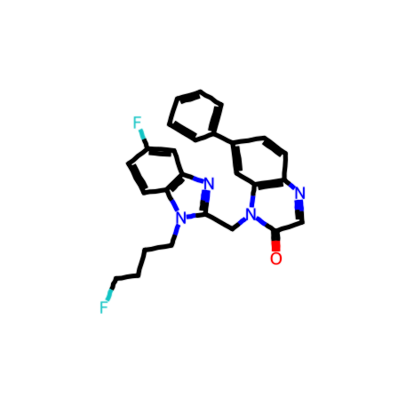 O=c1cnc2ccc(-c3ccccc3)cc2n1Cc1nc2cc(F)ccc2n1CCCCF